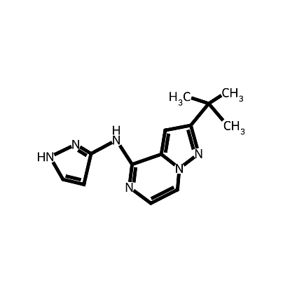 CC(C)(C)c1cc2c(Nc3cc[nH]n3)nccn2n1